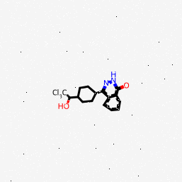 O=c1[nH]nc(C2CCC(C(O)C(Cl)(Cl)Cl)CC2)c2ccccc12